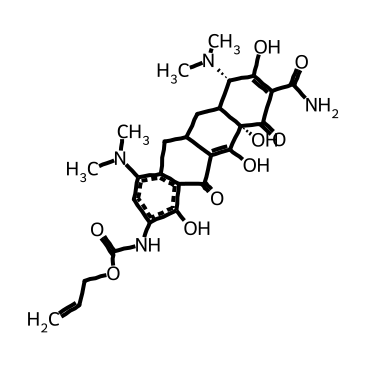 C=CCOC(=O)Nc1cc(N(C)C)c2c(c1O)C(=O)C1=C(O)[C@]3(O)C(=O)C(C(N)=O)=C(O)[C@@H](N(C)C)C3CC1C2